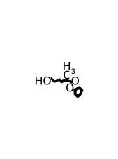 CC(=CCCCO)C(=O)Oc1ccccc1